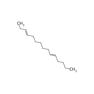 CC/C=C/CCCCC/C=C/CCCC